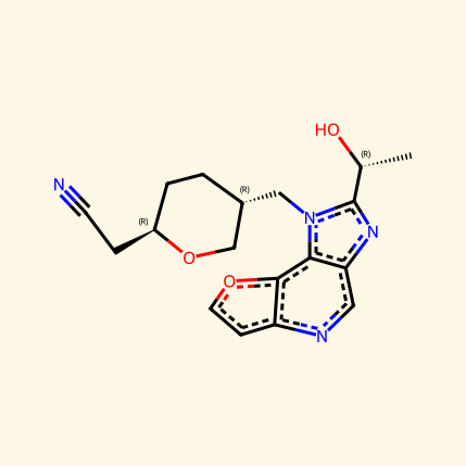 C[C@@H](O)c1nc2cnc3ccoc3c2n1C[C@H]1CC[C@H](CC#N)OC1